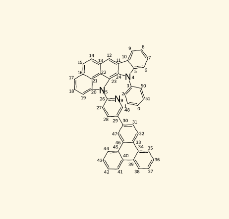 c1ccc(-n2c3ccccc3c3cc4ccc5cccc6c5c4c(c32)n6-c2ccc(-c3ccc4c5ccccc5c5ccccc5c4c3)cn2)cc1